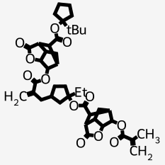 C=C(C)C(=O)OC1C2CC3C1OC(=O)C3C2C(=O)OC1(CC)CCC(CC(=C)C(=O)OC2C3CC4C2OC(=O)C4C3C(=O)OC2(C(C)(C)C)CCCC2)C1